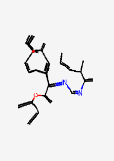 C=CC(=C)\C=C/C(=C\C(=C)/C=C\C)C(=N/C=N\C(=C)C(C)/C=C\C)/C(=C)OC(=C)C=C